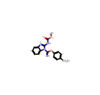 CCOC(=O)c1ccc(OC(=N)n2c(NC(=O)OC(C)C)nc3ccccc32)cc1